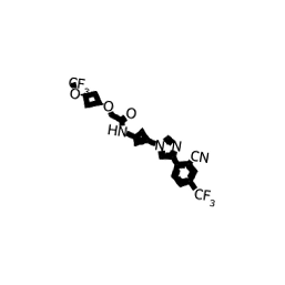 N#Cc1cc(C(F)(F)F)ccc1-c1cn(C23CC(NC(=O)CO[C@H]4C[C@@H](OC(F)(F)F)C4)(C2)C3)cn1